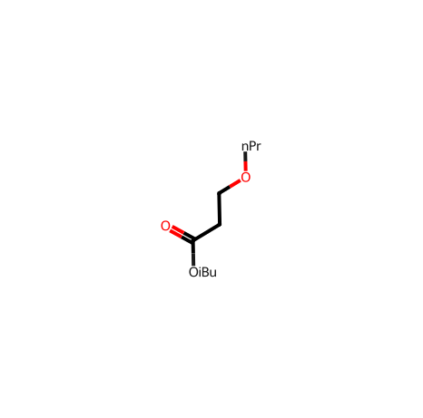 CCCOCCC(=O)OCC(C)C